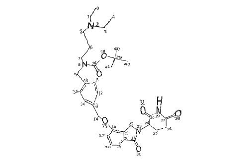 CCN(CC)CCCN(Cc1ccc(COc2cccc3c2CN(C2CCC(=O)NC2=O)C3=O)cc1)C(=O)OC(C)(C)C